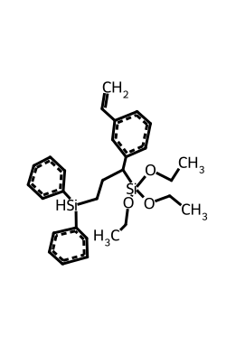 C=Cc1cccc(C(CC[SiH](c2ccccc2)c2ccccc2)[Si](OCC)(OCC)OCC)c1